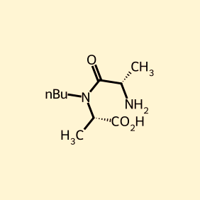 CCCCN(C(=O)[C@H](C)N)[C@@H](C)C(=O)O